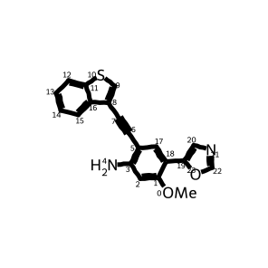 COc1cc(N)c(C#Cc2csc3ccccc23)cc1-c1cnco1